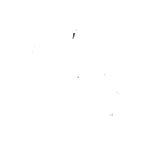 CC(N)[C@H]1O[C@@H](n2cc(I)c3c(N)ncnc32)C[C@@H]1O